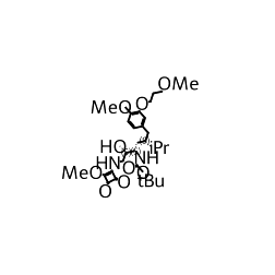 COCCCOc1cc(C[C@@H](C[C@H](NC(=O)OC(C)(C)C)[C@@H](O)CNc2c(OC)c(=O)c2=O)C(C)C)ccc1OC